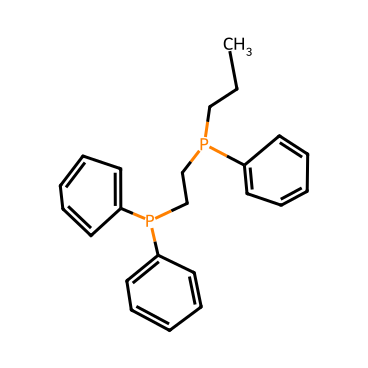 CCCP(CCP(c1ccccc1)c1ccccc1)c1ccccc1